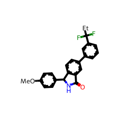 CCC(F)(F)c1cccc(-c2ccc3c(c2)C(=O)NC3c2ccc(OC)cc2)c1